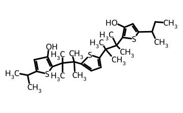 CCC(C)c1cc(O)c(C(C)(C)C(C)(C)c2ccc(C(C)(C)C(C)(C)c3sc(C(C)C)cc3O)s2)s1